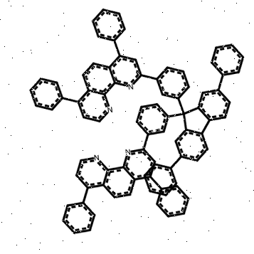 c1ccc(-c2ccc3c(c2)C(c2cccc(-c4cc(-c5ccccc5)c5ccc6c(-c7ccccc7)ccnc6c5n4)c2)(c2cccc(-c4cc(-c5ccccc5)c5ccc6c(-c7ccccc7)ccnc6c5n4)c2)c2cc(-c4ccccc4)ccc2-3)cc1